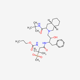 CCCOC(=O)N[C@H](C(=O)NC(Cc1ccccc1)C(O)CN1C[C@H]2CCCC[C@H]2CC1C(=O)NC(C)(C)C)C(C)(C)S(C)(=O)=O